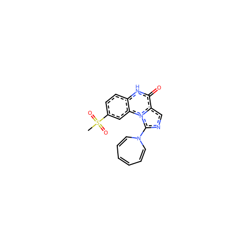 CS(=O)(=O)c1ccc2[nH]c(=O)c3cnc(N4C=CC=CC=C4)n3c2c1